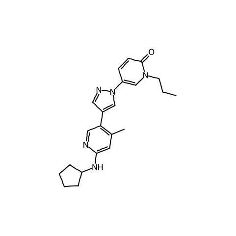 CCCn1cc(-n2cc(-c3cnc(NC4CCCC4)cc3C)cn2)ccc1=O